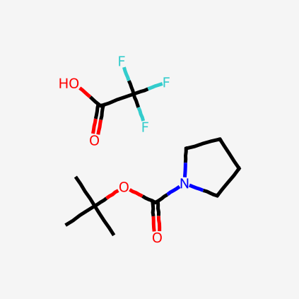 CC(C)(C)OC(=O)N1CCCC1.O=C(O)C(F)(F)F